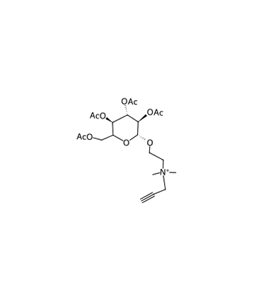 C#CC[N+](C)(C)CCO[C@@H]1OC(COC(C)=O)[C@@H](OC(C)=O)[C@H](OC(C)=O)[C@H]1OC(C)=O